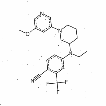 CCN(c1ccc(C#N)c(C(F)(F)F)c1)C1CCCN(c2cncc(OC)c2)C1